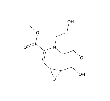 COC(=O)C(=CC1OC1CO)N(CCO)CCO